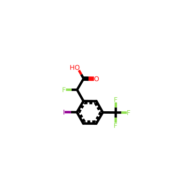 O=C(O)C(F)c1cc(C(F)(F)F)ccc1I